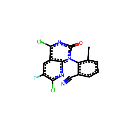 Cc1cccc(C#N)c1-n1c(=O)nc(Cl)c2cc(F)c(Cl)nc21